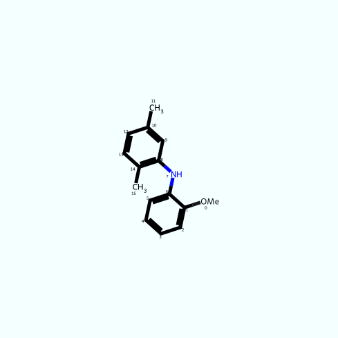 COc1ccccc1Nc1cc(C)ccc1C